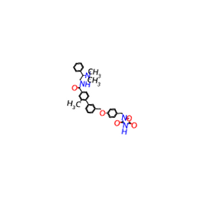 Cc1cc(C(=O)NCC(c2ccccc2)N(C)C)ccc1-c1cccc(COc2ccc(Cn3oc(=O)[nH]c3=O)cc2)c1